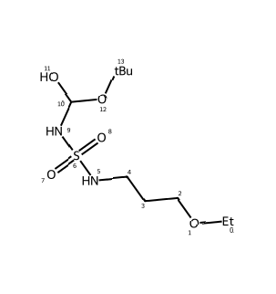 CCOCCCNS(=O)(=O)NC(O)OC(C)(C)C